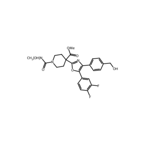 COC(=O)C1(c2nc(-c3ccc(CO)cc3)c(-c3ccc(F)c(F)c3)o2)CCN(C(=O)N(C)O)CC1